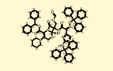 O=COCC1(NC(=O)/C(=N\OC(c2ccccc2)(c2ccccc2)c2ccccc2)c2csc(NC(c3ccccc3)(c3ccccc3)c3ccccc3)n2)C(=O)N2C(C(=O)OC(c3ccccc3)c3ccccc3)=C(N3CCCCC3)CS[C@H]21